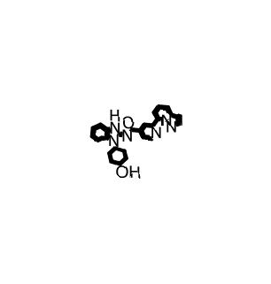 O=C(/N=c1\[nH]c2ccccc2n1[C@H]1CC[C@@H](O)CC1)c1ccnc(-c2cccc3ccnn23)c1